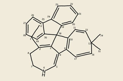 CCC1=C2C(=CNCC1)C1=C(C=CC(C)(C)C=C1)C21c2ccccc2-c2ccccc21